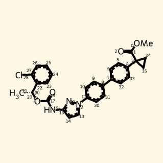 COC(=O)C1(c2ccc(-c3ccc(-n4ccc(NC(=O)O[C@H](C)c5ccccc5Cl)n4)cc3)cc2)CC1